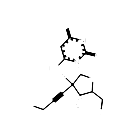 Cc1cc(=O)[nH]c(=O)n1[C@@H]1OC(CO)[C@H](O)C1(N)C#CCF